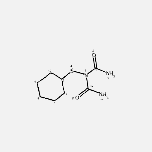 NC(=O)N(SC1CCCCC1)C(N)=O